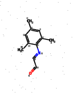 Cc1cc(C)c(N=C[C]=O)c(C)c1